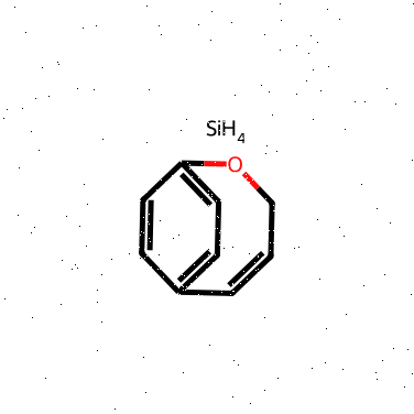 C1=Cc2ccc(cc2)OC1.[SiH4]